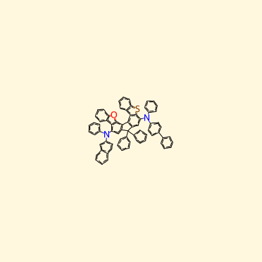 c1ccc(-c2ccc(N(c3ccccc3)c3cc4c(c5c3sc3ccccc35)-c3c(cc(N(c5ccccc5)c5ccc6ccccc6c5)c5c3oc3ccccc35)C4(c3ccccc3)c3ccccc3)cc2)cc1